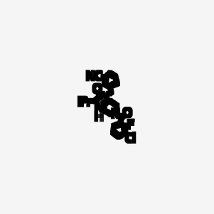 CC(C)C1NC2(CCN(C(=O)c3cccc(Cl)c3F)CC2)N(Cc2cccc(C#N)c2)C1=O